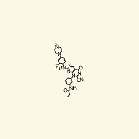 C=CC(=O)Nc1cccc(-n2c(C#N)nc(=O)c3cnc(Nc4ccc(N5CCN(C)CC5)cc4F)nc32)c1